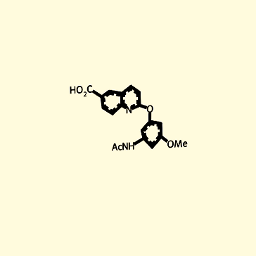 COc1cc(NC(C)=O)cc(Oc2ccc3cc(C(=O)O)ccc3n2)c1